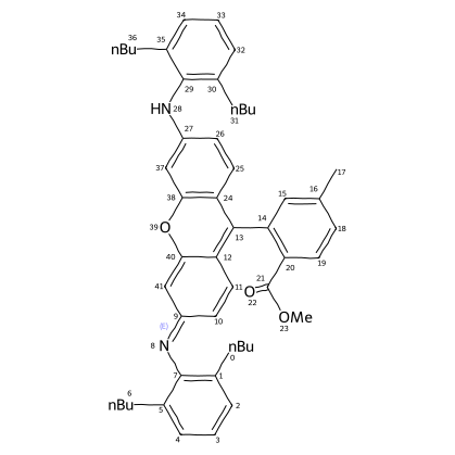 CCCCc1cccc(CCCC)c1/N=c1\ccc2c(-c3cc(C)ccc3C(=O)OC)c3ccc(Nc4c(CCCC)cccc4CCCC)cc3oc-2c1